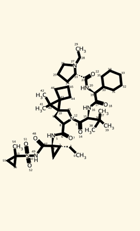 CC[C@@H]1C[C@]1(NC(=O)C1C[C@@]2(CN1C(=O)[C@@H](NC(=O)[C@@H](NC(=O)[C@@H]1CCCN1CC)C1CCCCC1)C(C)(C)C)C(C)(C)C21CCC1)C(=O)NS(=O)(=O)C1(C)CC1